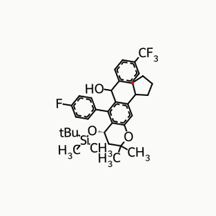 CC1(C)C[C@H](O[Si](C)(C)C(C)(C)C)c2c(cc(C3CCCC3)c(C(O)c3ccc(C(F)(F)F)cc3)c2-c2ccc(F)cc2)O1